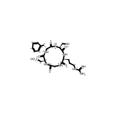 N=C(N)NCCC[C@@H]1NC(=O)[C@H](CS)NC(=O)[C@@H](Cc2ccccc2)NC(=O)[C@H](CC(=O)O)NC(=O)CNC1=O